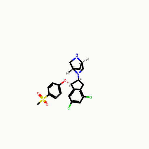 CS(=O)(=O)c1ccc(O[C@H]2c3cc(Cl)cc(Cl)c3C[C@@H]2N2C[C@H]3C[C@H]2CN3)cc1